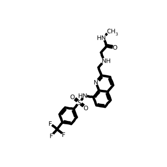 CNC(=O)CNCc1ccc2cccc(NS(=O)(=O)c3ccc(C(F)(F)F)cc3)c2n1